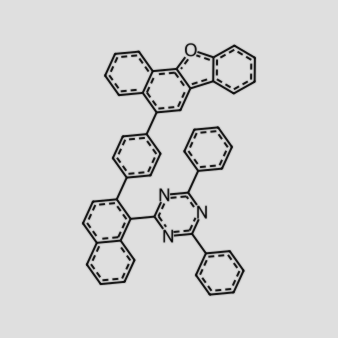 c1ccc(-c2nc(-c3ccccc3)nc(-c3c(-c4ccc(-c5cc6c7ccccc7oc6c6ccccc56)cc4)ccc4ccccc34)n2)cc1